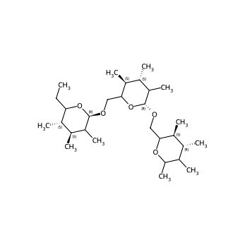 CCC1O[C@@H](OCC2O[C@@H](OCC3OC(C)C(C)[C@@H](C)[C@@H]3C)C(C)[C@@H](C)[C@@H]2C)C(C)[C@@H](C)[C@@H]1C